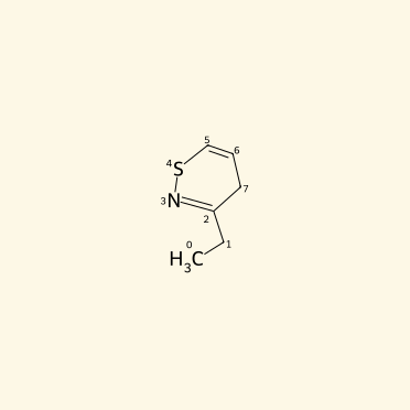 CCC1=NSC=CC1